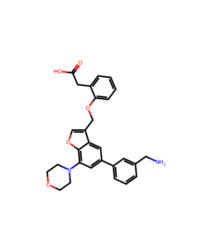 NCc1cccc(-c2cc(N3CCOCC3)c3occ(COc4ccccc4CC(=O)O)c3c2)c1